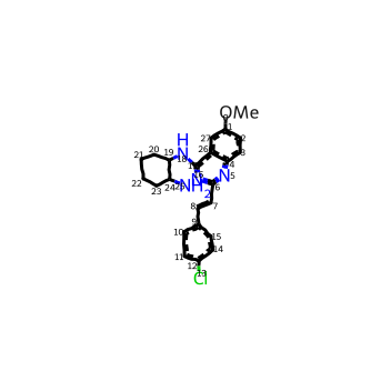 COc1ccc2nc(C=Cc3ccc(Cl)cc3)nc(NC3CCCCC3N)c2c1